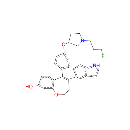 Oc1ccc2c(c1)OCCC(c1ccc3[nH]ccc3c1)=C2c1ccc(O[C@H]2CCN(CCCF)C2)cc1